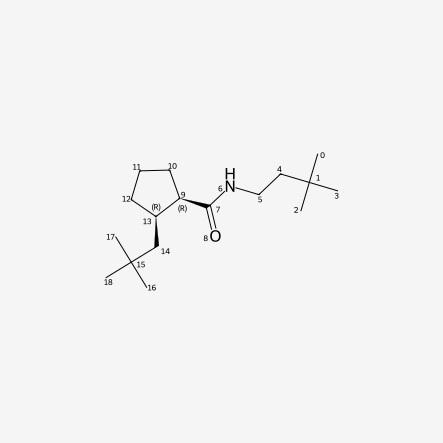 CC(C)(C)CCNC(=O)[C@@H]1CCC[C@@H]1CC(C)(C)C